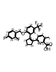 Cc1ccc(C2=C(c3cc(C(F)(F)F)ccc3OCc3ccc(F)cc3F)CCC2)nc1C(=O)O